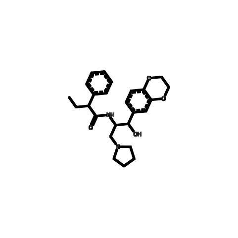 CCC(C(=O)NC(CN1CCCC1)C(O)c1ccc2c(c1)OCCO2)c1ccccc1